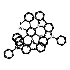 CC(C)c1c(-c2ccccc2F)c(-n2c3ccccc3c3ccc4c(c5ccccc5n4-c4ccccc4)c32)c(C(C)C)c(-n2c3ccccc3c3ccc4c(c5ccccc5n4-c4ccccc4)c32)c1-c1ccccc1F